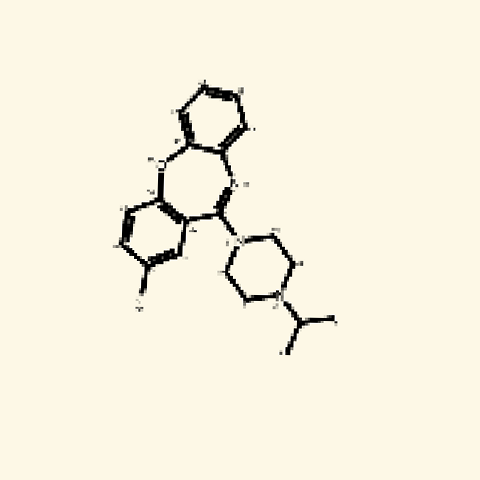 CC(C)N1CCN(C2=Nc3ccccc3Oc3ccc(Cl)cc32)CC1